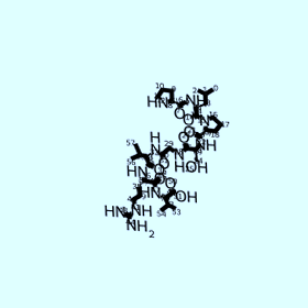 CC(C)C[C@H](NC(=O)[C@@H]1CCCN1)C(=O)N1CCC[C@H]1C(=O)N[C@@H](CO)C(=O)NCC(=O)N[C@H](C(=O)N[C@@H](CCCNC(=N)N)C(=O)N[C@H](C(=O)O)C(C)C)C(C)C